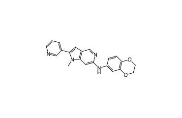 Cn1c(-c2cccnc2)cc2cnc(Nc3ccc4c(c3)OCCO4)cc21